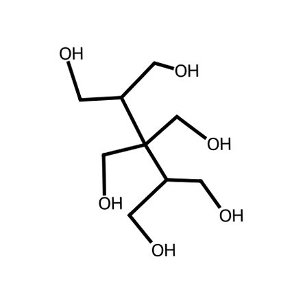 OCC(CO)C(CO)(CO)C(CO)CO